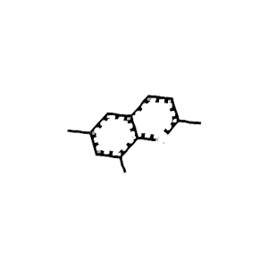 Cc1cc(O)c2nc(C)ccc2c1